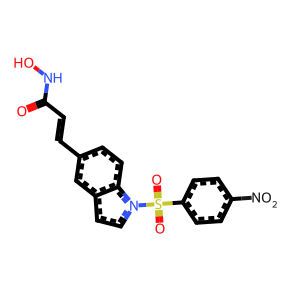 O=C(C=Cc1ccc2c(ccn2S(=O)(=O)c2ccc([N+](=O)[O-])cc2)c1)NO